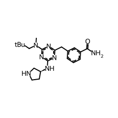 CN(CC(C)(C)C)c1nc(Cc2cccc(C(N)=O)c2)nc(N[C@H]2CCNC2)n1